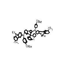 CCn1c2ccc(C)cc2c2cc(N(c3ccc(OC)cc3)c3ccc4c(c3)C3(c5ccccc5Sc5ccccc53)c3cc(N(c5ccc(OC)cc5)c5ccc6c(c5)c5cc(C)ccc5n6CC)ccc3-4)ccc21